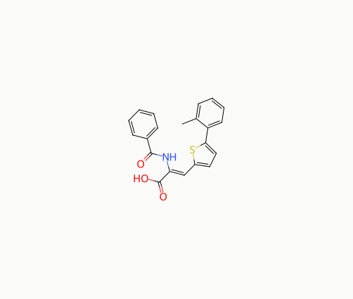 Cc1ccccc1-c1ccc(C=C(NC(=O)c2ccccc2)C(=O)O)s1